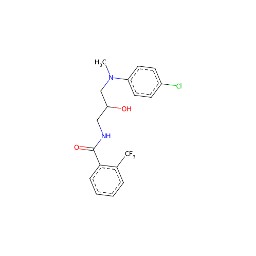 CN(CC(O)CNC(=O)c1ccccc1C(F)(F)F)c1ccc(Cl)cc1